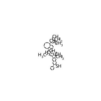 C=C(/C=C\C)/C(C)=C\C(=C)c1ccccccc(/C(C)=C/C(=C\C)C/C=C2\C(=C/C)C(C)(C)c3cc4cc(S)c(-c5ccccc5)cc4cc32)c2ccccc12